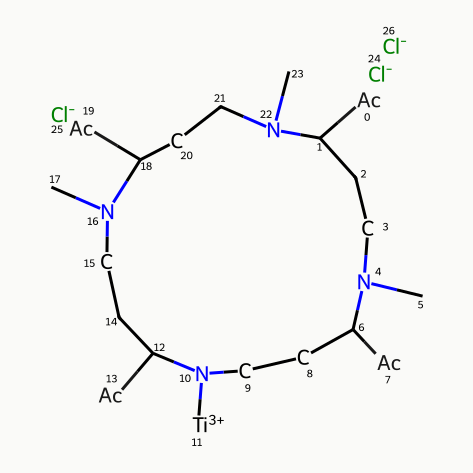 CC(=O)C1CCN(C)C(C(C)=O)CC[N]([Ti+3])C(C(C)=O)CCN(C)C(C(C)=O)CCN1C.[Cl-].[Cl-].[Cl-]